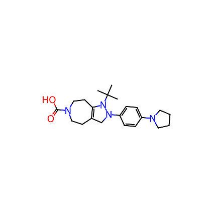 CC(C)(C)N1C2=C(CCN(C(=O)O)CC2)CN1c1ccc(N2CCCC2)cc1